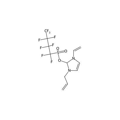 C=CCN1C=CN(C=C)C1OS(=O)(=O)C(F)(F)C(F)(F)C(F)(F)C(F)(F)F